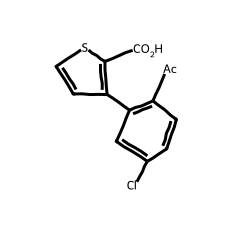 CC(=O)c1ccc(Cl)cc1-c1ccsc1C(=O)O